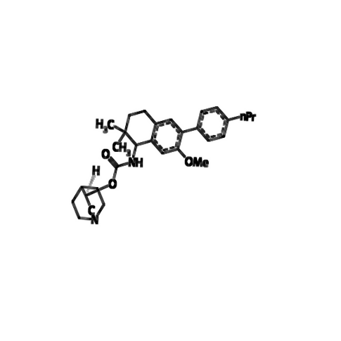 CCCc1ccc(-c2cc3c(cc2OC)C(NC(=O)O[C@H]2CN4CCC2CC4)C(C)(C)CC3)cc1